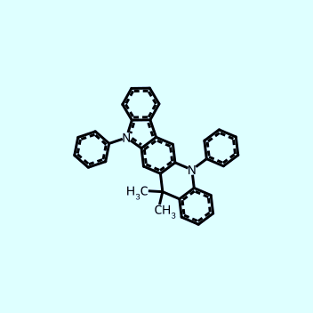 CC1(C)c2ccccc2N(c2ccccc2)c2cc3c4ccccc4n(-c4ccccc4)c3cc21